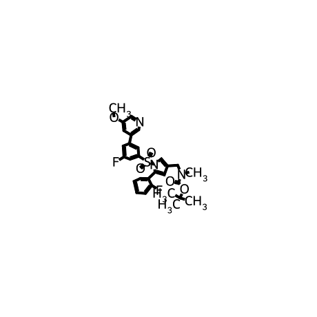 COc1cncc(-c2cc(F)cc(S(=O)(=O)n3cc(CN(C)C(=O)OC(C)(C)C)cc3-c3ccccc3F)c2)c1